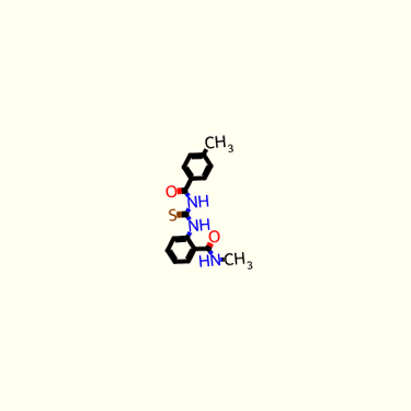 CNC(=O)c1ccccc1NC(=S)NC(=O)c1ccc(C)cc1